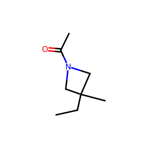 CCC1(C)CN(C(C)=O)C1